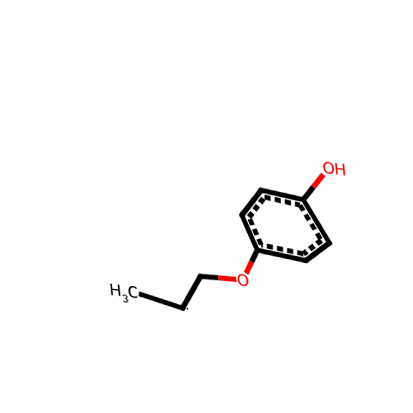 C[CH]COc1ccc(O)cc1